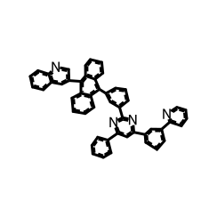 c1ccc(-c2cc(-c3cccc(-c4ccccn4)c3)nc(-c3cccc(-c4c5ccccc5c(-c5cnc6ccccc6c5)c5ccccc45)c3)n2)cc1